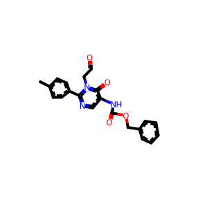 Cc1ccc(-c2ncc(NC(=O)OCc3ccccc3)c(=O)n2CC=O)cc1